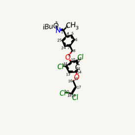 CC(=NOCC(C)C)c1ccc(COc2c(Cl)cc(OCC=C(Cl)Cl)cc2Cl)cc1